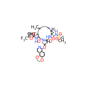 C[C@H]1CC/C=C\[C@@H]2C[C@@]2(C(=O)NS(=O)(=O)C2(C)CC2)NC(=O)[C@@H]2C[C@@H](Oc3nccc4c5c(ccc34)OCCO5)CN2C(=O)[C@@H](NC(=O)O[C@H](C)C(F)(F)F)[C@H](C)C1